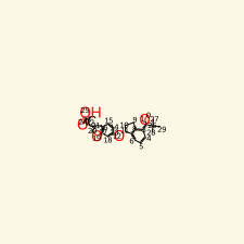 CO[C@H](c1cccc2c1CC[C@H]2Oc1ccc2c(c1)OCC2CC(=O)O)C(C)(C)C